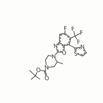 CC1CN(C(=O)OC(C)(C)C)CCN1c1nc2cc(F)c(C(F)(F)F)c(-c3nccs3)c2o1